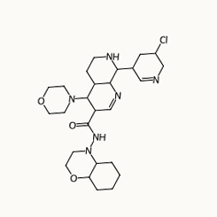 O=C(NN1CCOC2CCCCC21)C1C=NC2C(CCNC2C2C=NCC(Cl)C2)C1N1CCOCC1